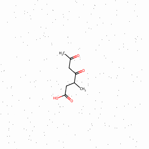 CC(=O)CC(=O)C(C)CC(=O)O